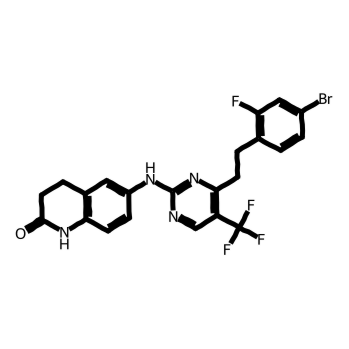 O=C1CCc2cc(Nc3ncc(C(F)(F)F)c(CCc4ccc(Br)cc4F)n3)ccc2N1